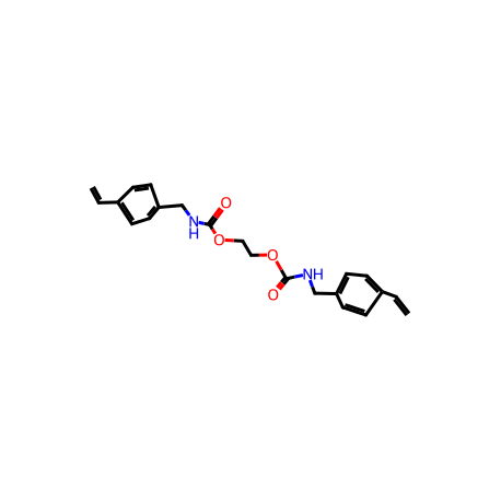 C=Cc1ccc(CNC(=O)OCCOC(=O)NCc2ccc(C=C)cc2)cc1